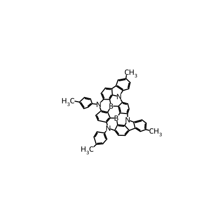 Cc1ccc(N2c3ccc4c5c3B3c6c(ccc7c6B5c5c(ccc6c8cc(C)ccc8n-7c56)N4c4ccc(C)cc4)-n4c5ccc(C)cc5c5ccc2c3c54)cc1